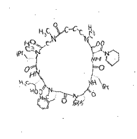 CC(C)C[C@@H]1NC(=O)[C@H](CC(C)C)N(C)C(=O)[C@H](Cc2ccccc2)N(C)C(=O)[C@H](C(C)O)NC(=O)[C@H](CC(C)C)N(C)C(=O)CN(C)C(=O)CCCN(C)C(=O)C(C(=O)N2CCCCC2)NC1=O